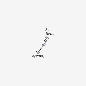 COc1cc(C(=O)Oc2ccc(/C=C/C(=O)OCCCCCCOC(=O)c3cc([N+](=O)[O-])cc([N+](=O)[O-])c3)cc2)ccc1OCCCC(F)(F)F